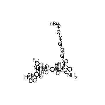 CCCCOCCOCCOCCOCCOCCOCCC(=O)N[C@@H](Cc1ccccc1)C(=O)N[C@@H](CCCCN)C(=O)Nc1ccc(C(O)C(=O)N[C@H]2CCc3c(C)c(F)cc4nc5c(c2c34)Cn2c-5cc3c(c2=O)COC(=O)[C@]3(O)CC)cc1